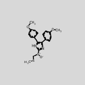 COc1ccc(-c2nc([S+]([O-])CSC)[nH]c2-c2ccc(OC)cc2)cc1